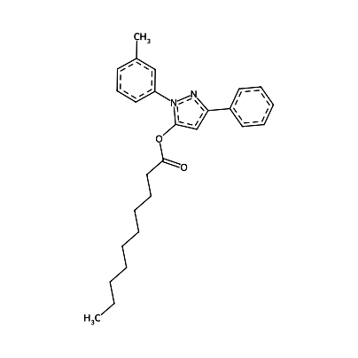 CCCCCCCCCC(=O)Oc1cc(-c2ccccc2)nn1-c1cccc(C)c1